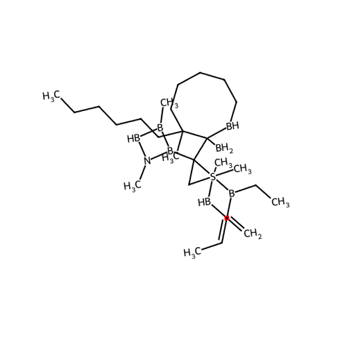 BC1(C2(B3B(C)BN3C)CS2(C)(C)(B/C=C\C)B(C=C)CC)BCCCCCC1(C)CCCCCC